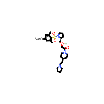 COc1cc(C)c(S(=O)(=O)N2CCC[C@H]2COCC(=O)N2CCC(CCN3CCCC3)CC2)c(C)c1.Cl